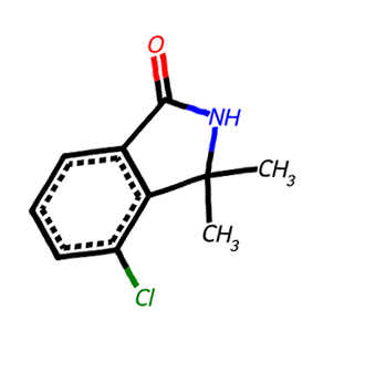 CC1(C)NC(=O)c2cccc(Cl)c21